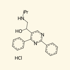 CC(C)NCC(O)c1cnc(-c2ccccc2)nc1-c1ccccc1.Cl